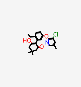 CCc1ccc(Oc2ncc(C)cc2Cl)cc1C1=C(O)CC(C)(C)CC1=O